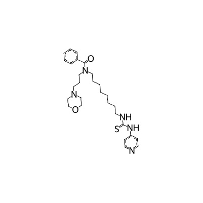 O=C(c1ccccc1)N(CCCCCCCCNC(=S)Nc1ccncc1)CCCN1CCOCC1